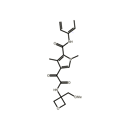 C=C/C(=C\C)NC(=O)c1c(C)c(C(=O)C(=O)NC2(COC)COC2)cn1C